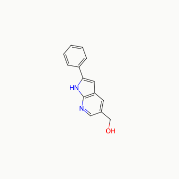 OCc1cnc2[nH]c(-c3ccccc3)cc2c1